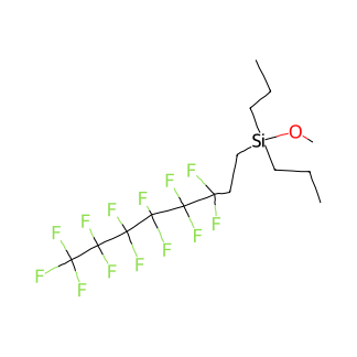 CCC[Si](CCC)(CCC(F)(F)C(F)(F)C(F)(F)C(F)(F)C(F)(F)C(F)(F)F)OC